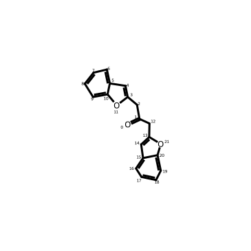 O=C(Cc1cc2ccccc2o1)Cc1cc2ccccc2o1